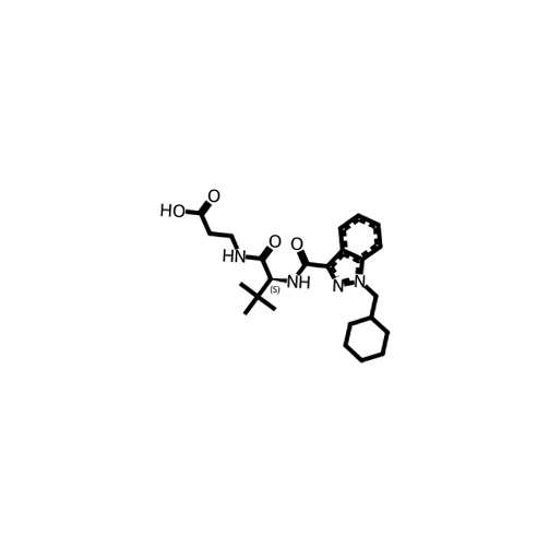 CC(C)(C)[C@H](NC(=O)c1nn(CC2CCCCC2)c2ccccc12)C(=O)NCCC(=O)O